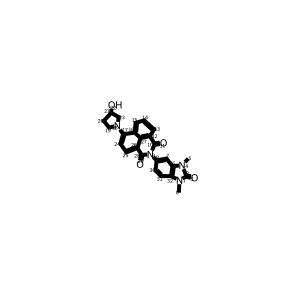 Cn1c(=O)n(C)c2cc(N3C(=O)c4cccc5c(N6CCC(O)C6)ccc(c45)C3=O)ccc21